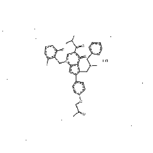 CC(=O)COc1ccc(-c2sc3c(c2CN(C)Cc2ccccc2)c(=O)c(C(=O)C(C)C)cn3Cc2c(F)cccc2F)cc1.Cl